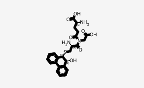 N[C@@H](CCC(=O)N(CC(=O)O)C(=O)[C@@H](N)CS[C@@H]1c2ccccc2-c2ccccc2[C@H]1O)C(=O)O